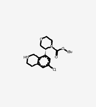 CC(C)(C)OC(=O)N1CCOC[C@H]1c1cc(Cl)cc2c1CNCC2